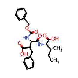 CC[C@@H](C)[C@@H](NC(=O)[C@@H](NC(=O)OCc1ccccc1)C(Cc1ccccc1)C(=O)O)C(=O)O